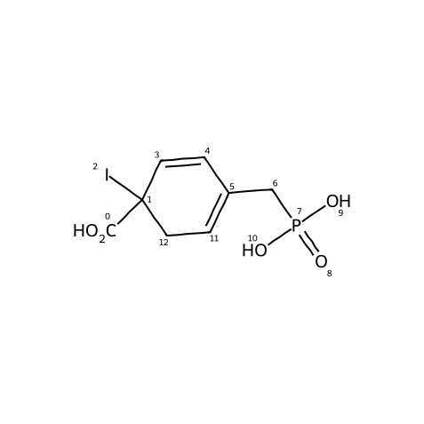 O=C(O)C1(I)C=CC(CP(=O)(O)O)=CC1